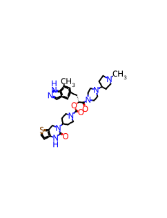 Cc1cc(C[C@@H](OC(=O)N2CCC(N3Cc4sccc4NC3=O)CC2)C(=O)N2CCN(C3CCN(C)CC3)CC2)cc2cn[nH]c12